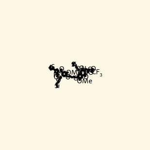 COc1cc2c(cc1OCCCOc1cc3c(cc1OC)C(=O)N1C=C(c4cccs4)C[C@H]1C(=O)N3COCC[Si](C)(C)C)N(COCC[Si](C)(C)C)C(=O)[C@@H]1CC(OS(=O)(=O)C(F)(F)F)=CN1C2=O